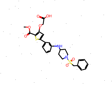 COC(=O)c1sc(-c2cccc(NC3CCN(S(=O)(=O)Cc4ccccc4)CC3)c2)cc1OCC(=O)O